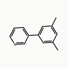 Cc1cc(C)cc(-c2cccnc2)c1